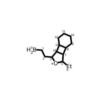 BCCC1OC(CC)C2C3CCCCC3C12